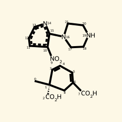 C[C@@]1(C(=O)O)C=CC=C(C(=O)O)C1.O=[N+]([O-])c1cccnc1N1CCNCC1